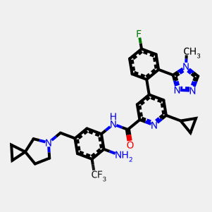 Cn1cnnc1-c1cc(F)ccc1-c1cc(C(=O)Nc2cc(CN3CCC4(CC4)C3)cc(C(F)(F)F)c2N)nc(C2CC2)c1